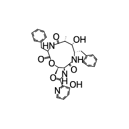 C[C@H]1OC(=O)C(Cc2ccccc2)NC(=O)[C@H](C)[C@H](O)[C@H](Cc2ccccc2)NC(=O)[C@H]1NC(=O)c1ncccc1O